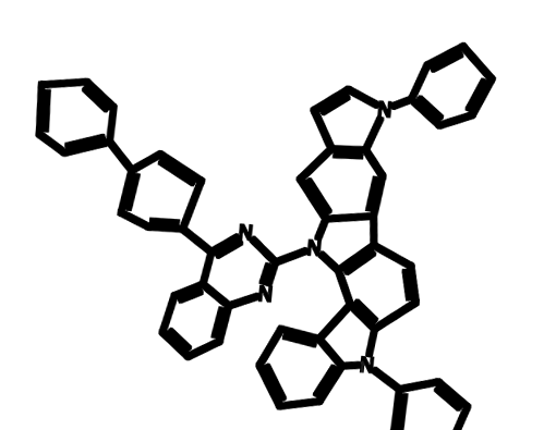 c1ccc(-c2ccc(-c3nc(-n4c5cc6ccn(-c7ccccc7)c6cc5c5ccc6c(c7ccccc7n6-c6ccccc6)c54)nc4ccccc34)cc2)cc1